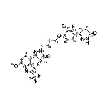 COc1ccc(C2=NN(CCCCOc3ccc(C4=NNC(=O)CC4)c(F)c3F)C(=O)C2(C)C)c2sc(C(F)(F)F)nc12